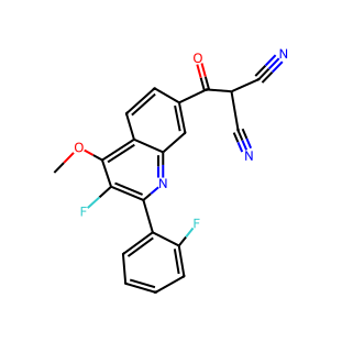 COc1c(F)c(-c2ccccc2F)nc2cc(C(=O)C(C#N)C#N)ccc12